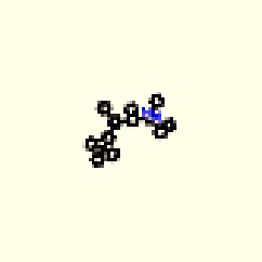 c1ccc(-c2cc(-c3ccc4c(c3)-c3ccccc3C4(c3ccccc3)c3ccccc3)cc(-c3ccc(-c4cc(-c5cccc6ccccc56)nc(-c5ccccc5)n4)c4ccccc34)c2)cc1